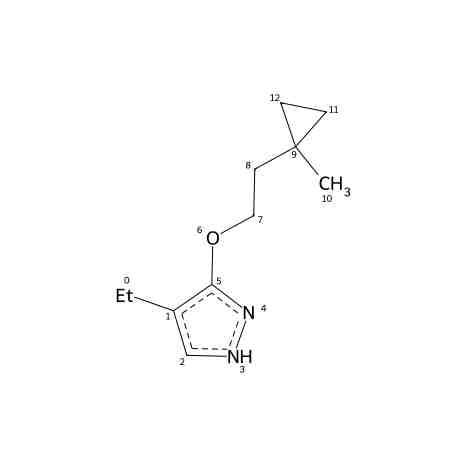 CCc1c[nH]nc1OCCC1(C)CC1